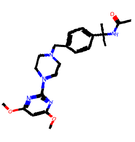 COc1cc(OC)nc(N2CCN(Cc3ccc(C(C)(C)NC(C)=O)cc3)CC2)n1